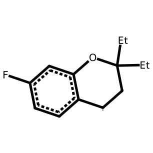 CCC1(CC)C[CH]c2ccc(F)cc2O1